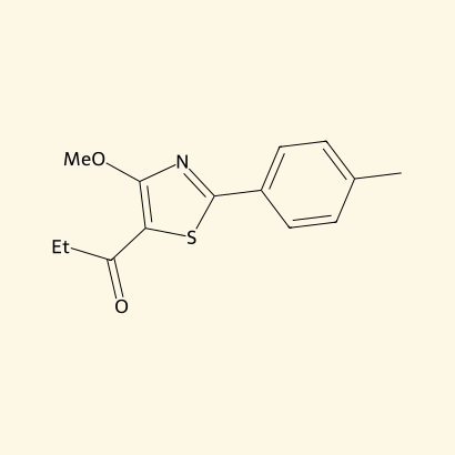 CCC(=O)c1sc(-c2ccc(C)cc2)nc1OC